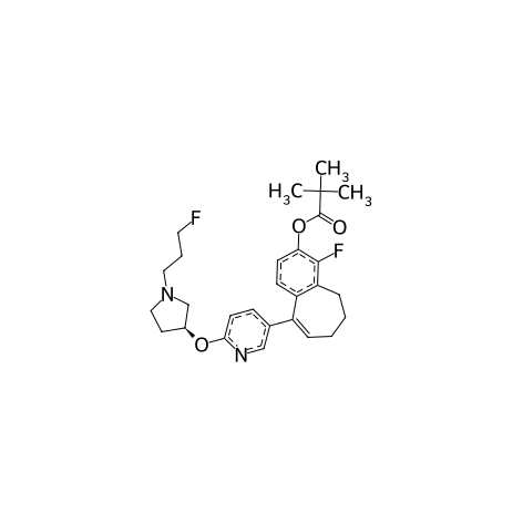 CC(C)(C)C(=O)Oc1ccc2c(c1F)CCCC=C2c1ccc(O[C@H]2CCN(CCCF)C2)nc1